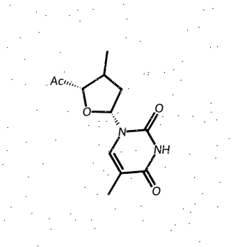 CC(=O)[C@H]1O[C@@H](n2cc(C)c(=O)[nH]c2=O)CC1C